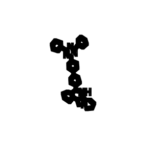 N=C(c1ccc(-c2ccc(-c3nc(-c4ccccc4)nc(-c4ccccc4)n3)cc2)cc1)c1ccccc1C1CN2C=CC=CC2=N1